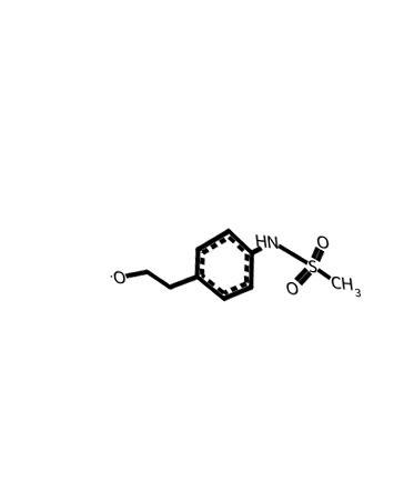 CS(=O)(=O)Nc1ccc(CC[O])cc1